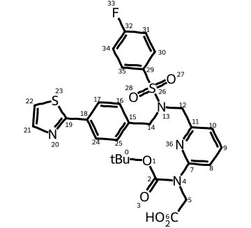 CC(C)(C)OC(=O)N(CC(=O)O)c1cccc(CN(Cc2ccc(-c3nccs3)cc2)S(=O)(=O)c2ccc(F)cc2)n1